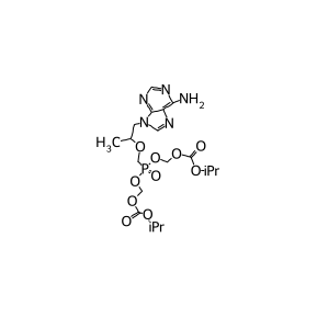 CC(C)OC(=O)OCOP(=O)(COC(C)Cn1cnc2c(N)ncnc21)OCOC(=O)OC(C)C